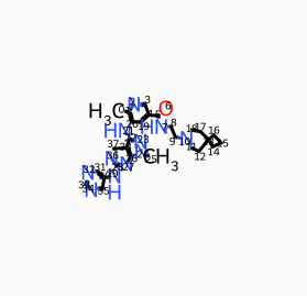 Cc1ncc(C(=O)NCCN2CCC3(CCC3)CC2)cc1Nc1nn(C)c2nc(Nc3cncnc3)ncc12